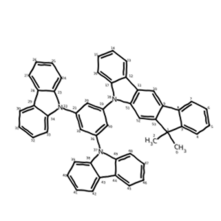 CC1(C)c2ccccc2-c2cc3c4ccccc4n(-c4cc(-n5c6ccccc6c6ccccc65)cc(-n5c6ccccc6c6ccccc65)c4)c3cc21